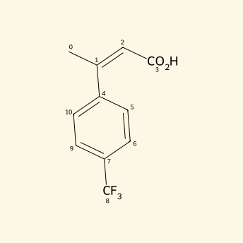 C/C(=C/C(=O)O)c1ccc(C(F)(F)F)cc1